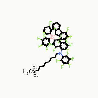 CC[Si](C)(CC)CCCCCCCCN(c1c(F)c(F)c(F)c(F)c1F)c1c(F)c(F)c(F)c2c(F)c([B-](c3c(F)ccc(F)c3F)(c3c(F)c(F)c(F)c(F)c3F)C3c4ccccc4-c4c(F)c(F)c(F)c(F)c43)c(F)c(F)c12